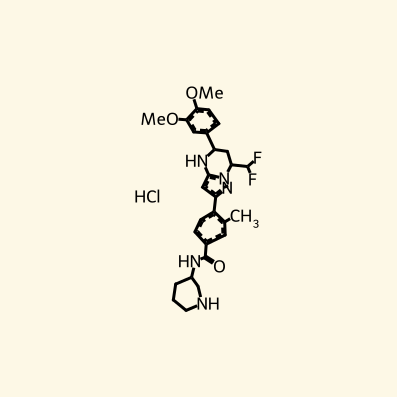 COc1ccc(C2CC(C(F)F)n3nc(-c4ccc(C(=O)NC5CCCNC5)cc4C)cc3N2)cc1OC.Cl